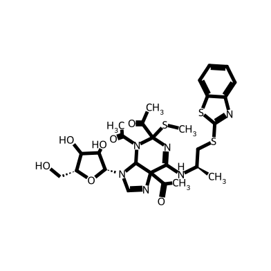 CSC1(C(C)=O)N=C(N[C@H](C)CSc2nc3ccccc3s2)C2(C(C)=O)N=CN([C@@H]3O[C@H](CO)C(O)C3O)C2N1C(C)=O